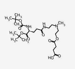 CN(CCNC(=O)CC[C@H](NC(=O)OC(C)(C)C)C(=O)OC(C)(C)C)CCOC(=O)CCC(=O)O